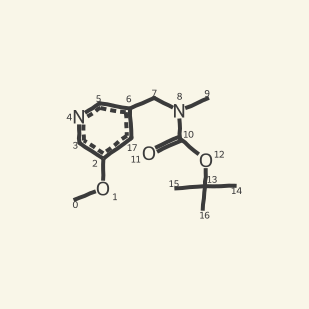 COc1cncc(CN(C)C(=O)OC(C)(C)C)c1